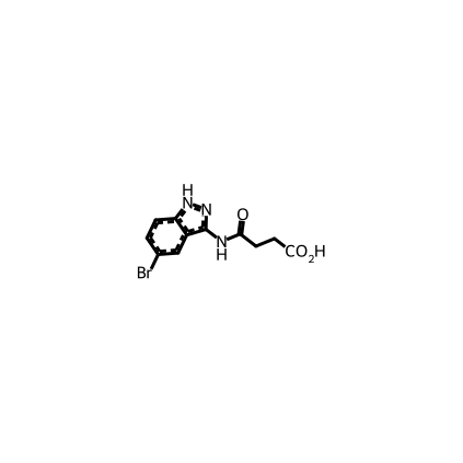 O=C(O)CCC(=O)Nc1n[nH]c2ccc(Br)cc12